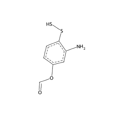 Nc1cc(OC=O)ccc1SS